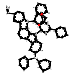 P=Nc1ccc2c(c1)c1ccc3c4cc(N(c5ccccc5)c5ccccc5)ccc4n(-c4nc(-c5ccccc5)nc(-c5ccccc5)n4)c3c1n2-c1ccccc1